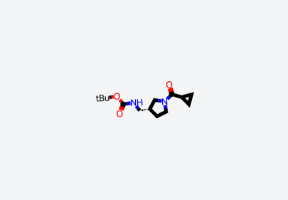 CC(C)(C)OC(=O)NC[C@H]1CCN(C(=O)C2CC2)C1